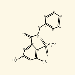 COS(=O)(=O)c1c(C)cc(C)cc1C(=O)OCc1ccccc1